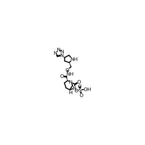 O=C(NOC[C@H]1C[C@H](n2cnnn2)CN1)[C@@H]1CC[C@@H]2CN1C(=O)N2OS(=O)(=O)O